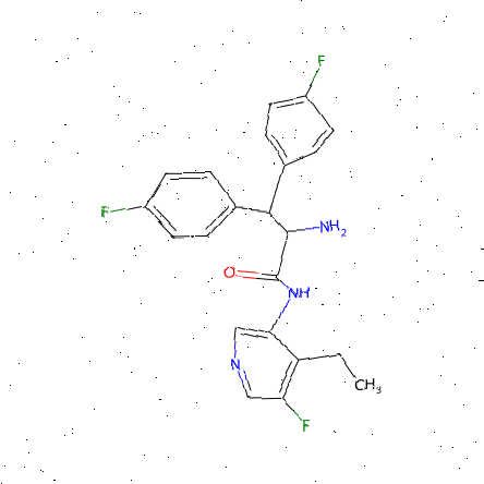 CCc1c(F)cncc1NC(=O)C(N)C(c1ccc(F)cc1)c1ccc(F)cc1